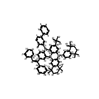 Cc1ccc(-c2ccccc2)cc1N1c2ccc(/C(=C\c3ccccc3)c3ccccc3)cc2B2c3cc4c(cc3N(c3ccc5c(c3)C(C)(C)CCC5(C)C)c3cc(C(C)(C)C)cc1c32)C(C)(C)CCC4(C)C